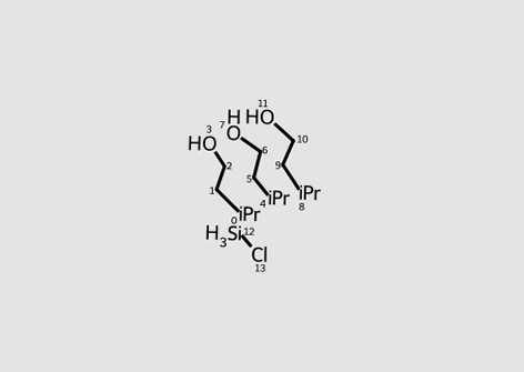 CC(C)CCO.CC(C)CCO.CC(C)CCO.[SiH3]Cl